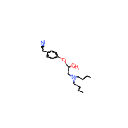 CCCCN(CCCC)CC(O)COc1ccc(CC#N)cc1